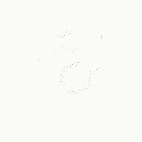 C=O.O=C(O)/C=C/C(=O)O.Oc1ccccc1